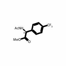 COC(=O)[C@@H](NC(C)=O)c1ccc(C(F)(F)F)cc1